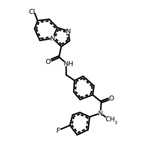 CN(C(=O)c1ccc(CNC(=O)c2cnc3cc(Cl)ccn23)cc1)c1ccc(F)cc1